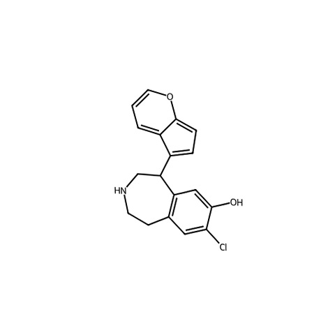 Oc1cc2c(cc1Cl)CCNCC2c1ccc2occcc1-2